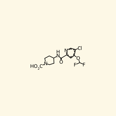 O=C(NC1CCN(C(=O)O)CC1)c1cc(OC(F)F)c(Cl)cn1